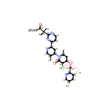 BC(B)(Oc1cc(C)n(-c2cc(-c3ccnc(C(C)(C)C(=O)NC)n3)ncc2C)c(=O)c1Cl)c1ncc(F)cc1F